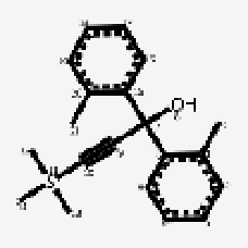 Cc1ccccc1C(O)(C#CS(C)(C)C)c1ccccc1C